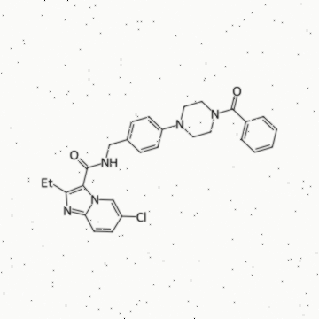 CCc1nc2ccc(Cl)cn2c1C(=O)NCc1ccc(N2CCN(C(=O)c3ccccc3)CC2)cc1